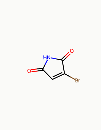 O=C1C=C(Br)C(=O)N1